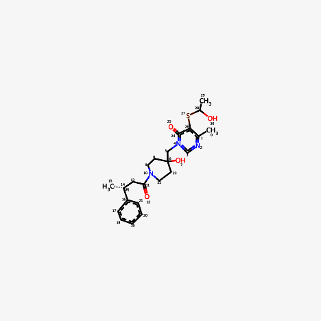 Cc1ncn(CC2(O)CCN(C(=O)C[C@@H](C)c3ccccc3)CC2)c(=O)c1SC(C)O